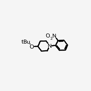 CC(C)(C)OC1CCN(c2ccccc2[N+](=O)[O-])CC1